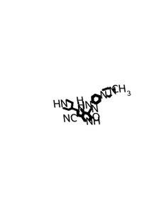 CN1CCN(c2ccc3[nH]c(-c4c(=O)[nH]cc5c(C#N)c(C6CCNCC6)[nH]c45)nc3c2)CC1